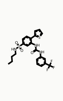 CCCCNS(=O)(=O)c1ccc(-c2cccs2)c(NC(=O)Nc2cccc(C(F)(F)F)c2)c1